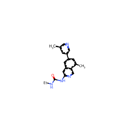 CCNC(=O)Nc1cc2cc(-c3cncc(C)c3)cc(C)c2cn1